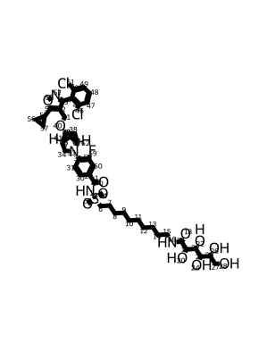 O=C(NS(=O)(=O)CCCCCCCCCCNC(=O)C(O)C(O)C(O)C(O)CO)c1ccc(N2C[C@@H]3C[C@H]2C[C@H]3OCc2c(-c3c(Cl)cccc3Cl)noc2C2CC2)c(F)c1